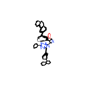 c1ccc(-c2nc(-c3ccc(-c4cccc5ccccc45)cc3)nc(-c3cncc4oc5c(-c6ccc7ccc8ccccc8c7c6)cccc5c34)n2)cc1